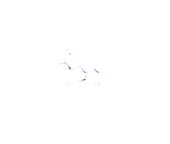 C=C(C)/C(=N\C=C(/N)Cl)C(=C)I